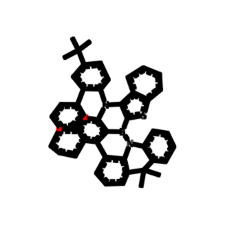 CC(C)(C)c1ccc(N2c3cc4ccccc4c4c3B(c3sc5ccccc5c32)N2c3ccccc3C(C)(C)c3cccc-4c32)c(-c2ccccc2)c1